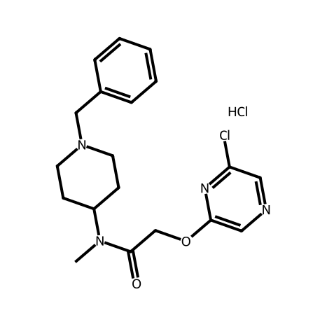 CN(C(=O)COc1cncc(Cl)n1)C1CCN(Cc2ccccc2)CC1.Cl